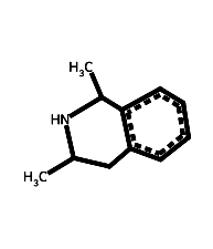 CC1Cc2ccccc2C(C)N1